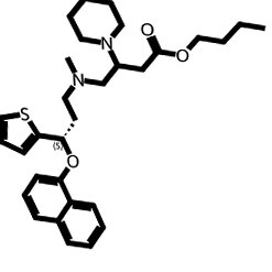 CCCCOC(=O)CC(CN(C)CC[C@H](Oc1cccc2ccccc12)c1cccs1)N1CCCCC1